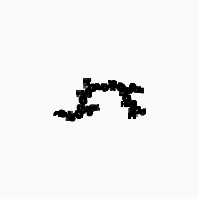 CCc1ccc(-c2noc(-c3ccc(CN(CC(=O)O)C(=O)c4ccc(NC(=O)Cc5ccc(OCC6CCC(c7noc(-c8ccc(CN(CC(=O)O)C(=O)c9ccc(NC(=O)Cc%10ccc(OC)cc%10C(F)(F)F)cc9)cc8)n7)CC6)cc5C(F)(F)F)cc4)cc3)n2)cc1